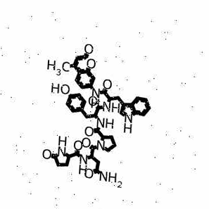 Cc1cc(=O)oc2cc(NC(=O)C(Cc3c[nH]c4ccccc34)NC(=O)C(Cc3ccc(O)cc3)NC(=O)C3CCCN3C(=O)C(CC(N)=O)NC(=O)C3CCC(=O)N3)ccc12